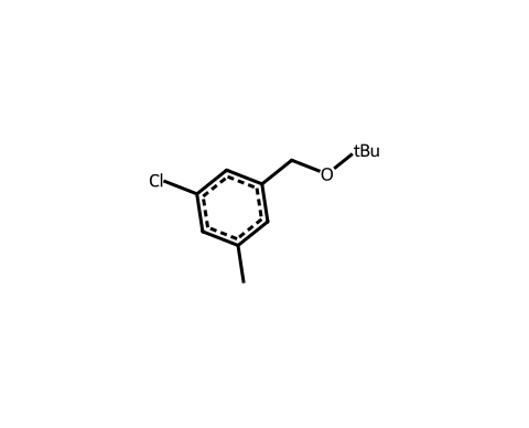 Cc1cc(Cl)cc(COC(C)(C)C)c1